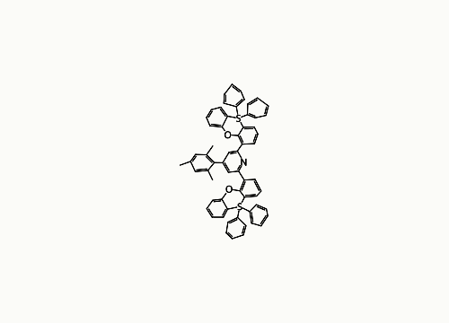 Cc1cc(C)c(-c2cc(-c3cccc4c3Oc3ccccc3S4(c3ccccc3)c3ccccc3)nc(-c3cccc4c3Oc3ccccc3S4(c3ccccc3)c3ccccc3)c2)c(C)c1